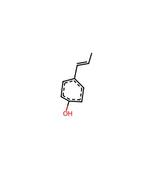 CC=Cc1ccc(O)cc1